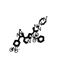 CN1CCN(c2ncc(-c3cc4c(-c5cn(C)nc5-c5ccc([N+](=O)[O-])cc5)ccnc4n3S(=O)(=O)c3ccccc3)cn2)CC1